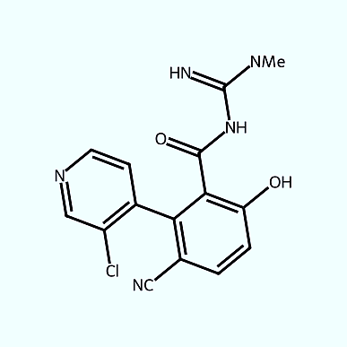 CNC(=N)NC(=O)c1c(O)ccc(C#N)c1-c1ccncc1Cl